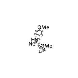 COc1ccc(CNC(C#N)CCP(C)(=O)OC)cc1